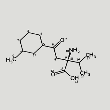 CC1CCCC(C(=O)C[C@@](N)(C(=O)O)C(C)C)C1